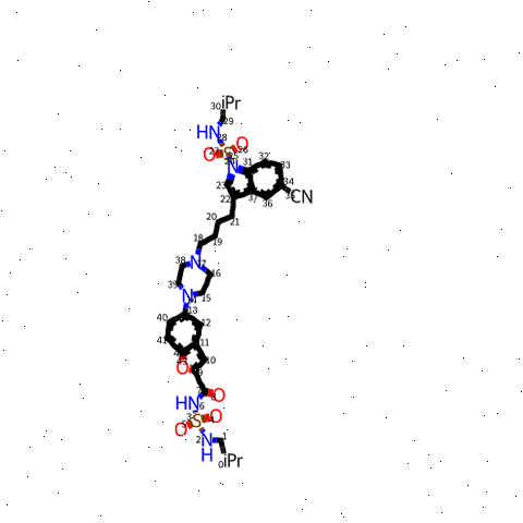 CC(C)CNS(=O)(=O)NC(=O)c1cc2cc(N3CCN(CCCCc4cn(S(=O)(=O)NCC(C)C)c5ccc(C#N)cc45)CC3)ccc2o1